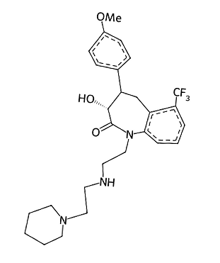 COc1ccc(C2Cc3c(cccc3C(F)(F)F)N(CCNCCN3CCCCC3)C(=O)[C@@H]2O)cc1